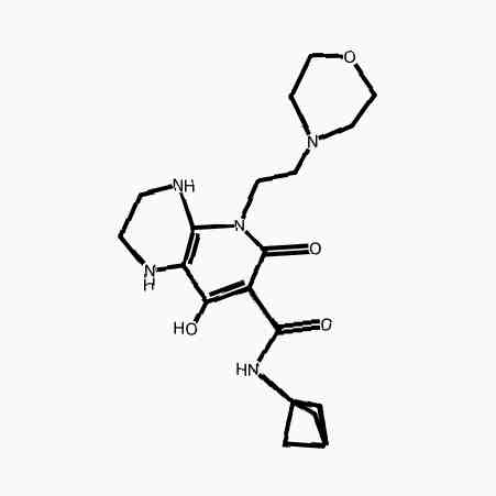 O=C(NC12CC(C1)C2)c1c(O)c2c(n(CCN3CCOCC3)c1=O)NCCN2